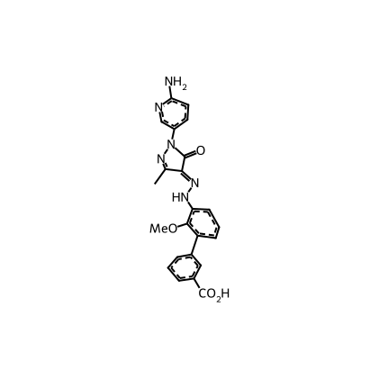 COc1c(N/N=C2/C(=O)N(c3ccc(N)nc3)N=C2C)cccc1-c1cccc(C(=O)O)c1